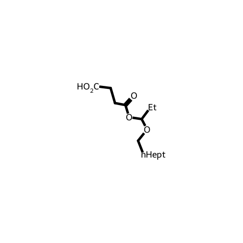 CCCCCCCCOC(CC)OC(=O)CCC(=O)O